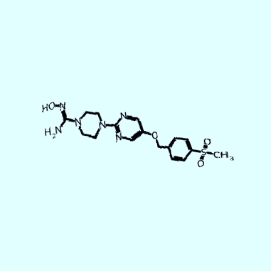 CS(=O)(=O)c1ccc(COc2cnc(N3CCN(/C(N)=N/O)CC3)nc2)cc1